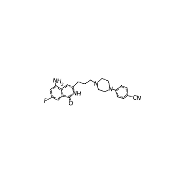 N#Cc1ccc(N2CCN(CCCc3cc4c(N)cc(F)cc4c(=O)[nH]3)CC2)cc1